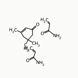 C=CC(N)=O.C=CC(N)=O.CC1=CC(=O)CC(C)(C)C1